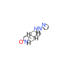 CN1C(=O)C=C[C@]2(C)[C@H]3CC[C@]4(C)[C@@H](Nc5ccccn5)CC[C@H]4[C@@H]3CC[C@@H]12